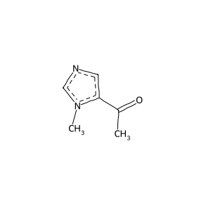 CC(=O)c1cncn1C